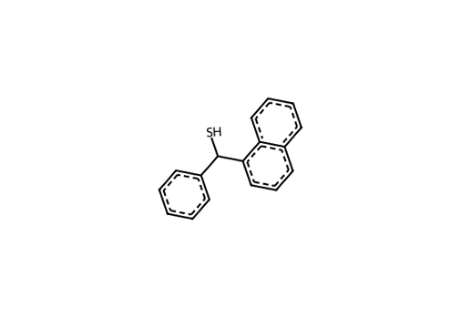 SC(c1ccccc1)c1cccc2ccccc12